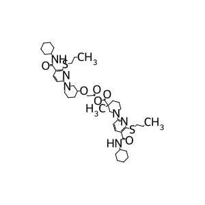 CCCSc1nc(N2CCCC(OCC(=O)OC(=O)C3(C)CCCN(c4ccc(C(=O)NC5CCCCC5)c(SCCC)n4)C3)C2)ccc1C(=O)NC1CCCCC1